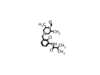 CC(C)C(=O)Nc1cccc(CN2CC(C)N(C=O)[C@H](C)C2)c1Cl